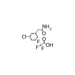 NC(=O)Cc1cccc(Cl)c1.O=C(O)C(F)(F)F